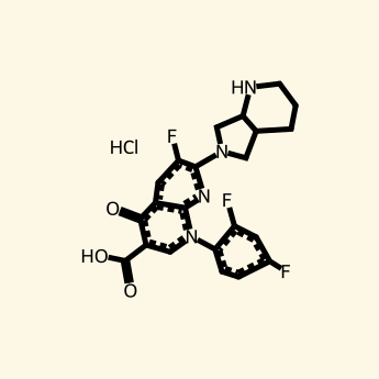 Cl.O=C(O)c1cn(-c2ccc(F)cc2F)c2nc(N3CC4CCCNC4C3)c(F)cc2c1=O